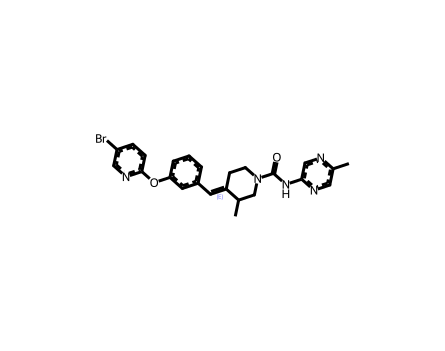 Cc1cnc(NC(=O)N2CC/C(=C\c3cccc(Oc4ccc(Br)cn4)c3)C(C)C2)cn1